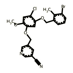 COc1cc(Cl)c(OCc2cccc(Br)c2C)cc1OCc1cncc(C#N)c1